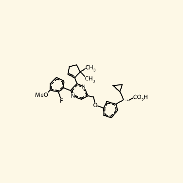 COc1cccc(-c2ncc(COc3cccc([C@@H](CC(=O)O)C4CC4)c3)nc2C2=CCCC2(C)C)c1F